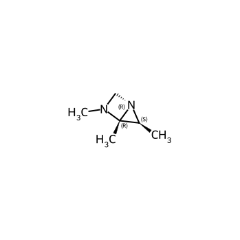 C[C@@H]1[N@@]2CN(C)[C@@]12C